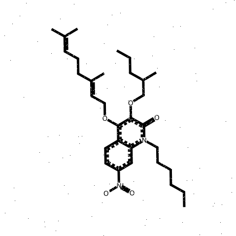 CCCCCCn1c(=O)c(OCC(C)CCC)c(OC/C=C(\C)CCC=C(C)C)c2ccc([N+](=O)[O-])cc21